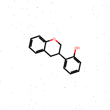 Oc1ccccc1C1COc2ccccc2C1